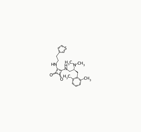 Cc1cccc(C)c1C[C@@H](CNc1c(NCCc2ccsc2)c(=O)c1=O)N(C)C